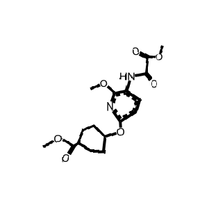 COC(=O)C(=O)Nc1ccc(OC2CCC(C(=O)OC)CC2)nc1OC